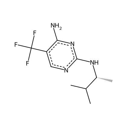 CC(C)[C@@H](C)Nc1ncc(C(F)(F)F)c(N)n1